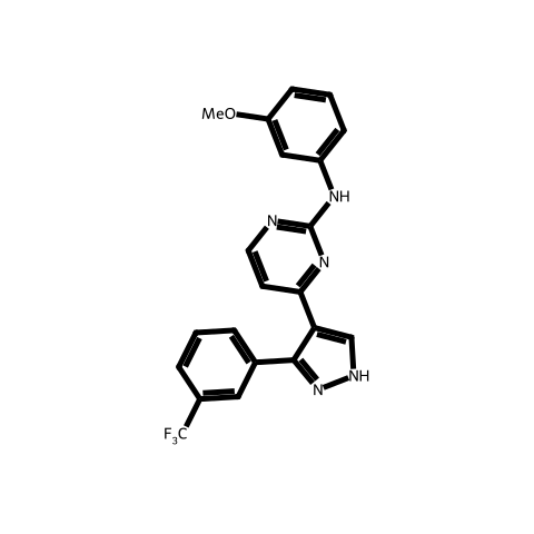 COc1cccc(Nc2nccc(-c3c[nH]nc3-c3cccc(C(F)(F)F)c3)n2)c1